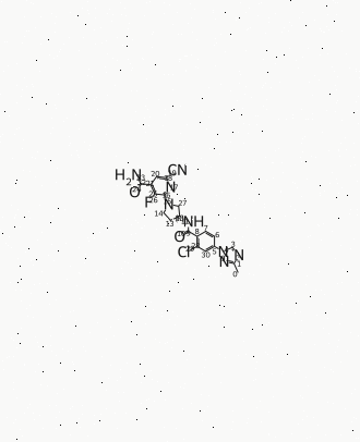 Cc1ncn(-c2ccc(C(=O)N[C@@H]3CCN(c4nc(C#N)cc(C(N)=O)c4F)C3)c(Cl)c2)n1